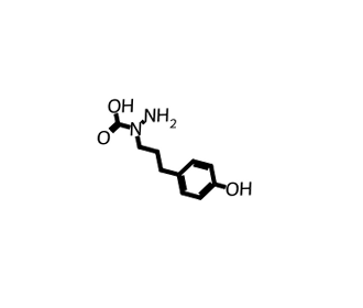 NN(CCCc1ccc(O)cc1)C(=O)O